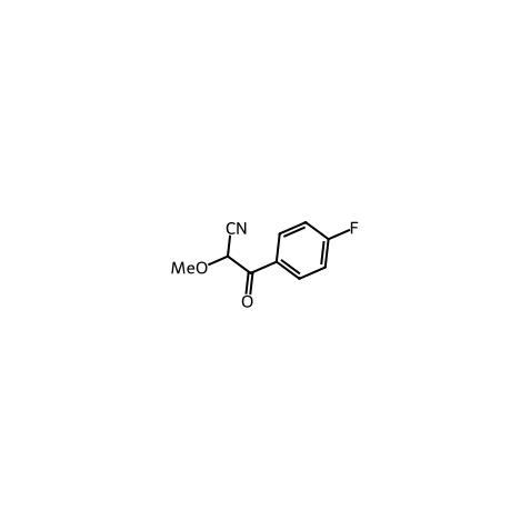 COC(C#N)C(=O)c1ccc(F)cc1